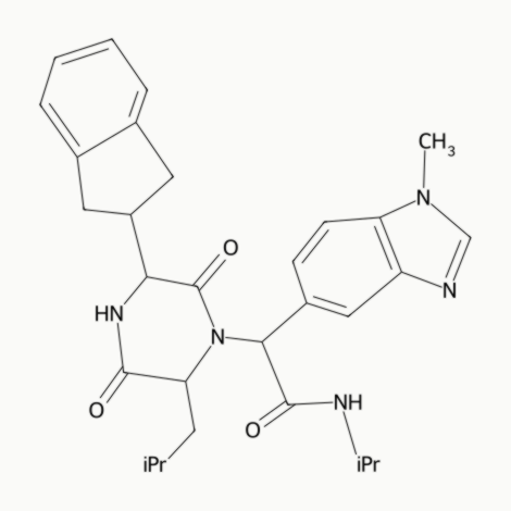 CC(C)CC1C(=O)NC(C2Cc3ccccc3C2)C(=O)N1C(C(=O)NC(C)C)c1ccc2c(c1)ncn2C